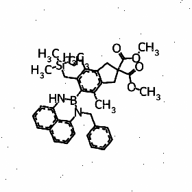 COC(=O)C1(C(=O)OC)Cc2c(C)c(C[Si](C)(C)C)c(B3Nc4cccc5cccc(c45)N3Cc3ccccc3)c(C)c2C1